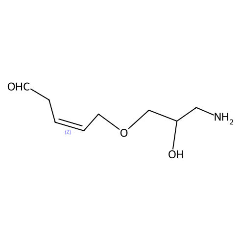 NCC(O)COC/C=C\CC=O